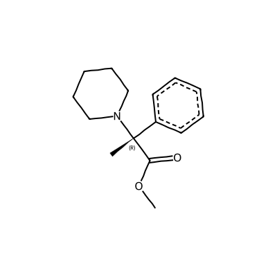 COC(=O)[C@@](C)(c1ccccc1)N1CCCCC1